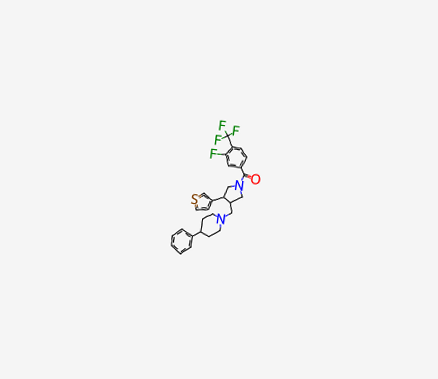 O=C(c1ccc(C(F)(F)F)c(F)c1)N1CC(CN2CCC(c3ccccc3)CC2)C(c2ccsc2)C1